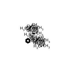 C=C[Si](C)(C)O[Si](C)(C)O[Si](C)(C)CC[Si](C)(C)O[Si](C)(O[Si](C)(C)CC[Si](C)(C)O[Si](C)(C)O[Si](C)(C)CC[Si](C)(C)C)c1ccccc1